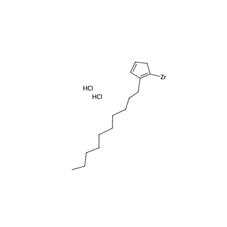 CCCCCCCCCCC1=[C]([Zr])CC=C1.Cl.Cl